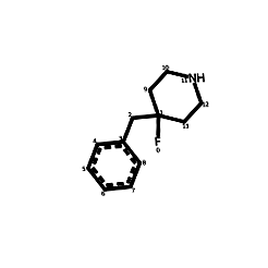 FC1(Cc2ccccc2)CCNCC1